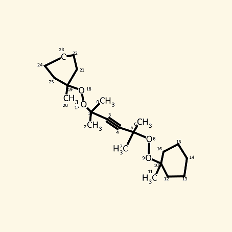 CC(C)(C#CC(C)(C)OOC1(C)CCCCC1)OOC1(C)CCCCC1